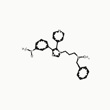 CN(CCCn1cnc(-c2cccc([S+](C)[O-])c2)c1-c1ccncc1)Cc1ccccc1